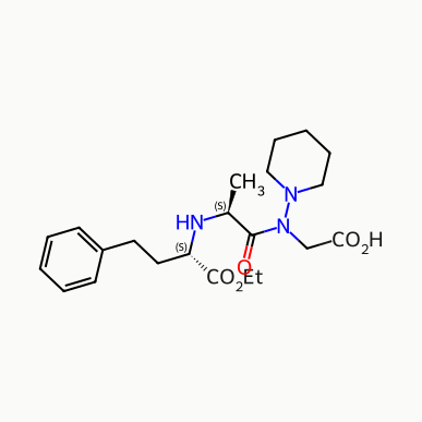 CCOC(=O)[C@H](CCc1ccccc1)N[C@@H](C)C(=O)N(CC(=O)O)N1CCCCC1